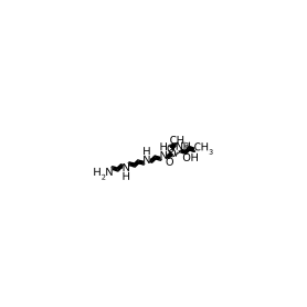 C/C=C/[C@@H](O)[C@H](COC(=O)NCCCNCCCCNCCCN)NC(C)=O